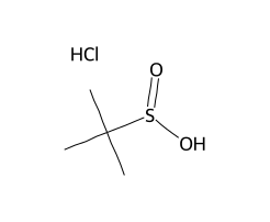 CC(C)(C)S(=O)O.Cl